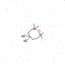 C[Si]1(C)CCC(C#N)(C#N)CC[Si](C)(C)O1